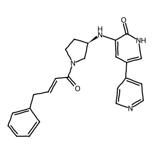 O=C(C=CCc1ccccc1)N1CC[C@@H](Nc2cc(-c3ccncc3)c[nH]c2=O)C1